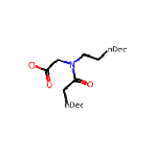 CCCCCCCCCCCCN(CC([O])=O)C(=O)CCCCCCCCCCC